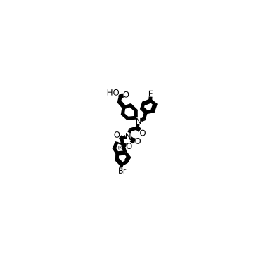 O=C(O)C=C1CCC(N(Cc2ccc(F)cc2)C(=O)CN2C(=O)O[C@@]3(CCc4cc(Br)ccc43)C2=O)CC1